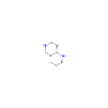 C1=C2NCCCC2CNC1